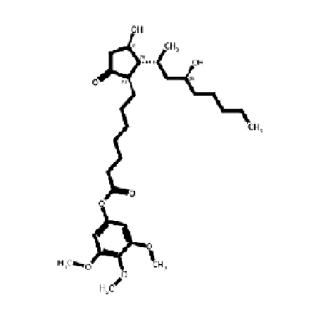 CCCCC[C@H](O)CC(C)[C@H]1[C@H](O)CC(=O)[C@@H]1CCCCCCC(=O)Oc1cc(OC)c(OC)c(OC)c1